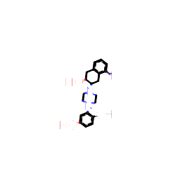 Cc1ccc(O)cc1N1CCN(C2Cc3c(I)cccc3CC2O)CC1